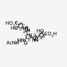 CC(=O)NCCNC(=O)c1cc(-c2cn(-c3ccc(C(=O)O)c(O)c3)nn2)nc(-c2cn(-c3ccc(C(=O)O)c(O)c3)nn2)c1